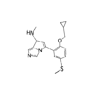 CNC1C=C(c2cc(SC)ccc2OCC2CC2)n2cncc21